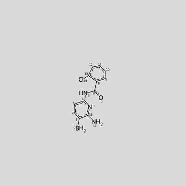 Bc1ccc(NC(=O)c2ccccc2Cl)nc1N